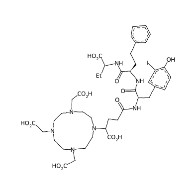 CCC(NC(=O)[C@@H](CCc1ccccc1)NC(=O)C(Cc1ccc(O)c(I)c1)NC(=O)CCC(C(=O)O)N1CCN(CC(=O)O)CCN(CC(=O)O)CCN(CC(=O)O)CC1)C(=O)O